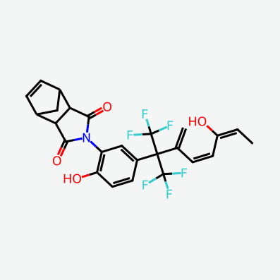 C=C(/C=C\C(O)=C/C)C(c1ccc(O)c(N2C(=O)C3C4C=CC(C4)C3C2=O)c1)(C(F)(F)F)C(F)(F)F